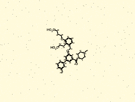 CN1CCN(C(=O)c2cc(OCc3cccc(OCCCC(=O)O)c3CCC(=O)O)cc(-c3cccc(F)c3)c2)CC1